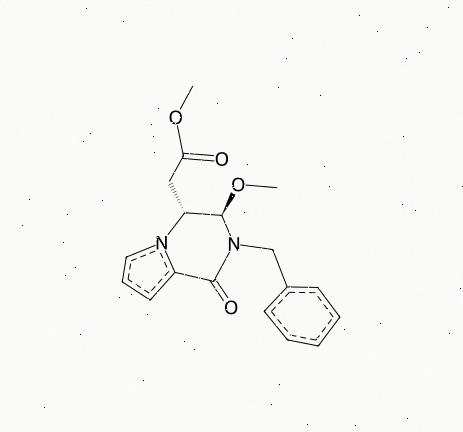 COC(=O)C[C@@H]1[C@@H](OC)N(Cc2ccccc2)C(=O)c2cccn21